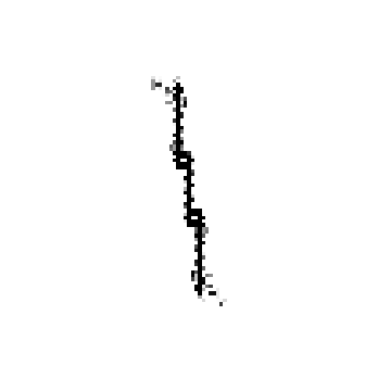 C=CC(=O)OCCCCCCOc1ccc(CCCCCCc2ccc(OCCCCCCOC(=O)C=C)cc2)cc1